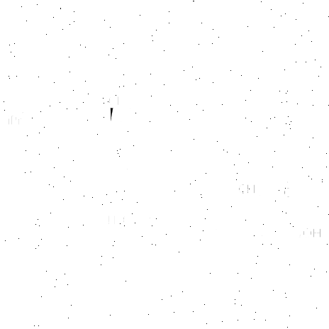 C/C(=C\C(O)Cl)CCC[C@H](C)CCC[C@H](C)CCCC(C)C